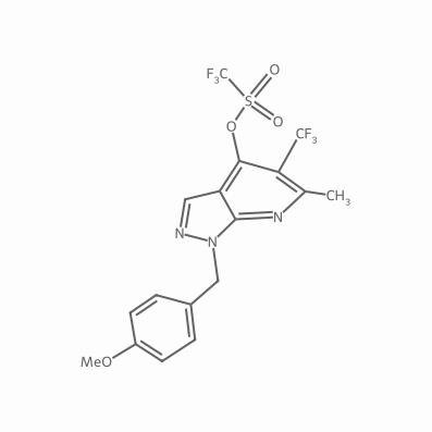 COc1ccc(Cn2ncc3c(OS(=O)(=O)C(F)(F)F)c(C(F)(F)F)c(C)nc32)cc1